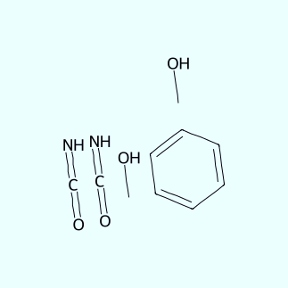 CO.CO.N=C=O.N=C=O.c1ccccc1